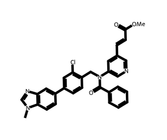 COC(=O)/C=C/c1cncc(N(Cc2ccc(-c3ccc4c(c3)ncn4C)cc2Cl)C(=O)c2ccccc2)c1